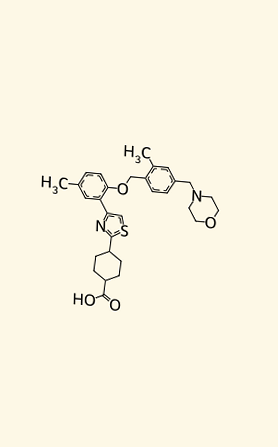 Cc1ccc(OCc2ccc(CN3CCOCC3)cc2C)c(-c2csc(C3CCC(C(=O)O)CC3)n2)c1